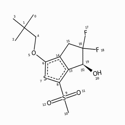 CC(C)(C)COc1sc(S(C)(=O)=O)c2c1CC(F)(F)[C@H]2O